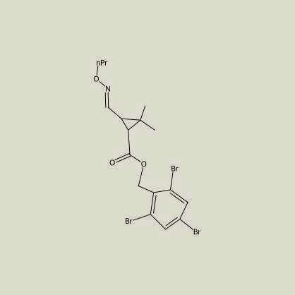 CCCO/N=C/C1C(C(=O)OCc2c(Br)cc(Br)cc2Br)C1(C)C